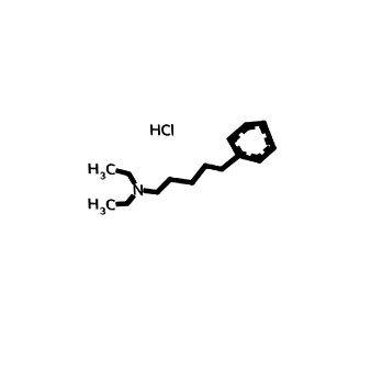 CCN(CC)CCCCCc1ccccc1.Cl